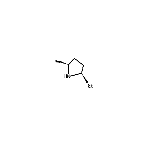 CC[C@@H]1CC[C@H](C)N1